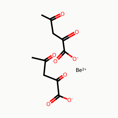 CC(=O)CC(=O)C(=O)[O-].CC(=O)CC(=O)C(=O)[O-].[Be+2]